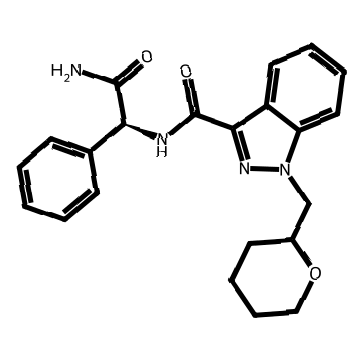 NC(=O)[C@@H](NC(=O)c1nn(CC2CCCCO2)c2ccccc12)c1ccccc1